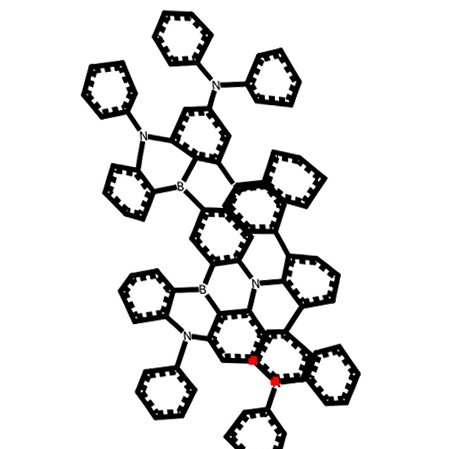 c1ccc(-c2cccc(-c3ccccc3)c2N2c3cc4c(cc3B3c5ccccc5N(c5ccccc5)c5cc(N(c6ccccc6)c6ccccc6)cc2c53)B2c3ccccc3N(c3ccccc3)c3cc(N(c5ccccc5)c5ccccc5)cc(c32)N4c2ccccc2)cc1